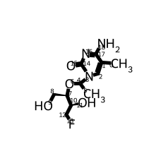 Cc1cn(C(C)O[C@H](CO)[C@@H](O)CF)c(=O)nc1N